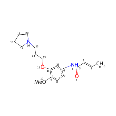 C/C=C/C(=O)Nc1ccc(OC)c(OCCCN2CCCC2)c1